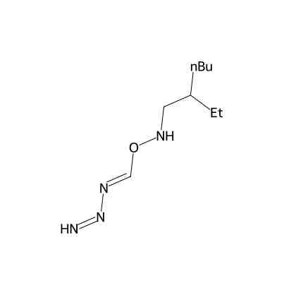 CCCCC(CC)CNO/C=N/N=N